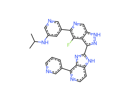 CC(C)Nc1cncc(-c2ncc3[nH]nc(-c4nc5c(-c6cccnc6)nccc5[nH]4)c3c2F)c1